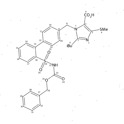 CCC(C)c1nc(SC)c(C(=O)O)n1Cc1ccc(-c2ccccc2S(=O)(=O)NC(=O)OCc2ccccc2)cc1